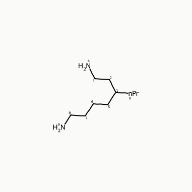 CCCC(CCN)CCCCN